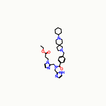 CCOC(=O)CCn1ccnc1CN(Cc1ncc[nH]1)C(=O)c1ccc(CN2CCC3(CCN(C4CCCCC4)CC3)C2)cc1